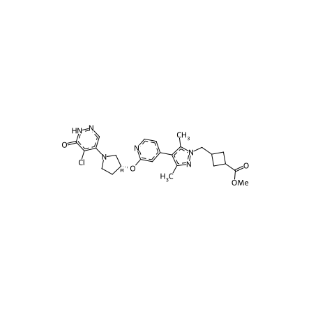 COC(=O)C1CC(Cn2nc(C)c(-c3ccnc(O[C@@H]4CCN(c5cn[nH]c(=O)c5Cl)C4)c3)c2C)C1